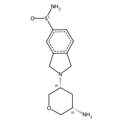 N[C@@H]1COC[C@H](N2Cc3ccc([S+](N)[O-])cc3C2)C1